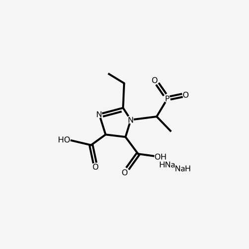 CCC1=NC(C(=O)O)C(C(=O)O)N1C(C)P(=O)=O.[NaH].[NaH]